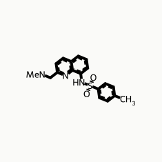 CNCc1ccc2cccc(NS(=O)(=O)c3ccc(C)cc3)c2n1